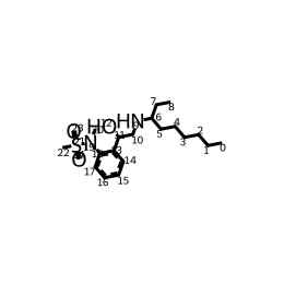 CCCCCCC(CC)NCC(O)c1ccccc1N(C)S(C)(=O)=O